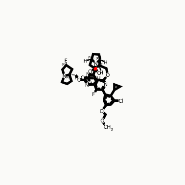 COCOc1cc(Cl)c(C2CC2)c(-c2nc3c4c(nc(OC[C@]56CCCN5C[C@H](F)C6)nc4c2F)N2C[C@@H]4CC[C@H]([C@@H]2CO3)N4C(=O)OC(C)(C)C)c1